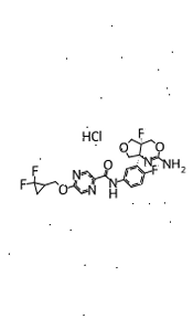 Cl.NC1=N[C@@]2(c3cc(NC(=O)c4cnc(OCC5CC5(F)F)cn4)ccc3F)COC[C@@]2(F)CO1